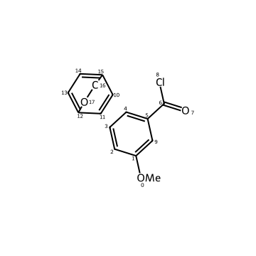 COc1cccc(C(=O)Cl)c1.c1cc2ccc1CO2